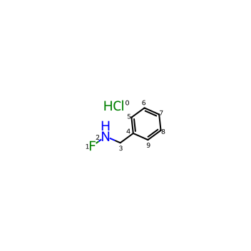 Cl.FNCc1ccccc1